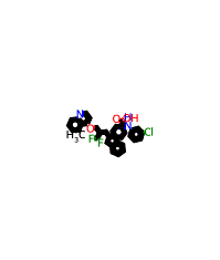 C[C@@H]1CCCc2nccc(OCC(CC3Cc4ccccc4C34CCC(Nc3cccc(Cl)c3)(C(=O)O)CC4)C(F)F)c21